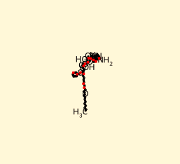 CCCCCCCCCOCCCCCCCCCCC(COP(=O)(O)OC[C@H]1O[C@@](C#N)(c2ccc3c(N)ncnn23)C(O)[C@H]1O)OCc1ccccc1